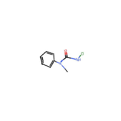 CN(C(=O)NCl)c1ccccc1